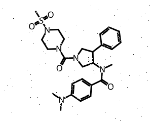 CN(C)c1ccc(C(=O)N(C)C2CN(C(=O)N3CCN(S(C)(=O)=O)CC3)CC2c2ccccc2)cc1